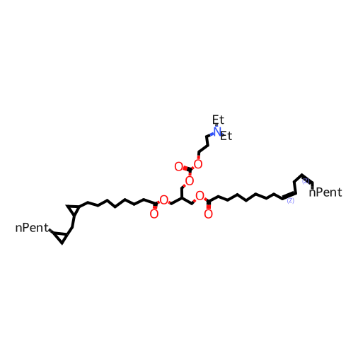 CCCCC/C=C\C/C=C\CCCCCCCC(=O)OCC(COC(=O)CCCCCCCC1CC1CC1CC1CCCCC)COC(=O)OCCCN(CC)CC